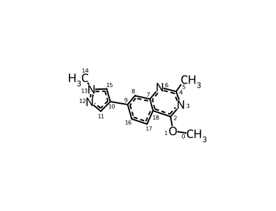 COc1nc(C)nc2cc(-c3cnn(C)c3)ccc12